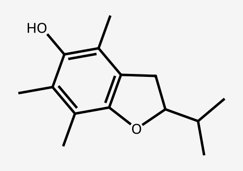 Cc1c(C)c2c(c(C)c1O)CC(C(C)C)O2